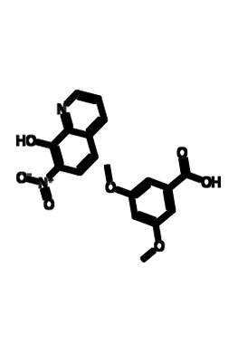 COc1cc(OC)cc(C(=O)O)c1.O=[N+]([O-])c1ccc2cccnc2c1O